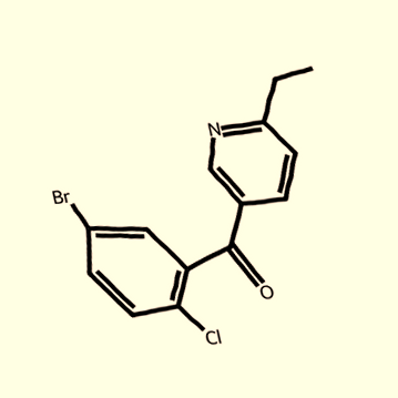 CCc1ccc(C(=O)c2cc(Br)ccc2Cl)cn1